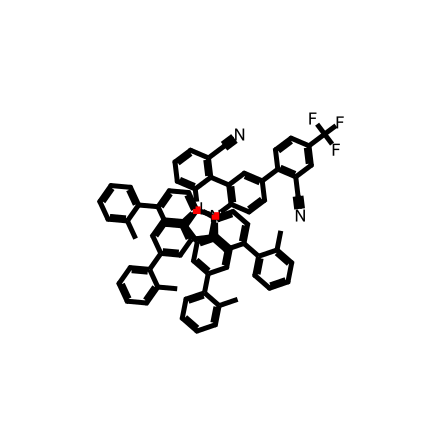 Cc1ccccc1-c1ccc2c(c1)c1cc(-c3ccccc3C)ccc1n2-c1ccc(-c2ccc(C(F)(F)F)cc2C#N)cc1-c1c(C#N)cccc1-n1c2ccc(-c3ccccc3C)cc2c2cc(-c3ccccc3C)ccc21